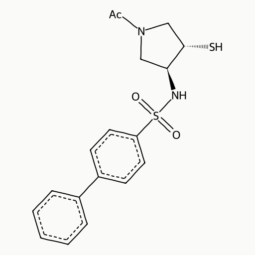 CC(=O)N1C[C@H](NS(=O)(=O)c2ccc(-c3ccccc3)cc2)[C@@H](S)C1